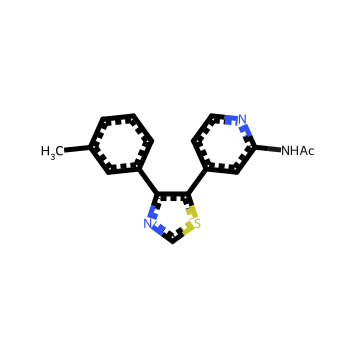 CC(=O)Nc1cc(-c2scnc2-c2cccc(C)c2)ccn1